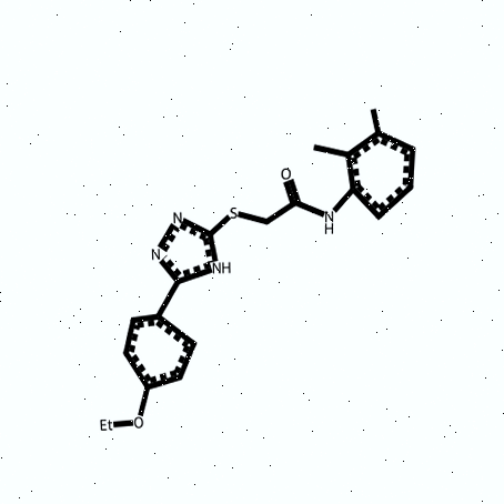 CCOc1ccc(-c2nnc(SCC(=O)Nc3cccc(C)c3C)[nH]2)cc1